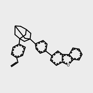 C=Cc1ccc(C23CC4CC(C2)CC(c2ccc(-c5ccc6oc7ccccc7c6c5)cc2)(C4)C3)cc1